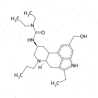 CCCN1C[C@@H](NC(=O)N(CC)CC)CC2c3cc(CO)cc4[nH]c(CC)c(c34)C[C@H]21